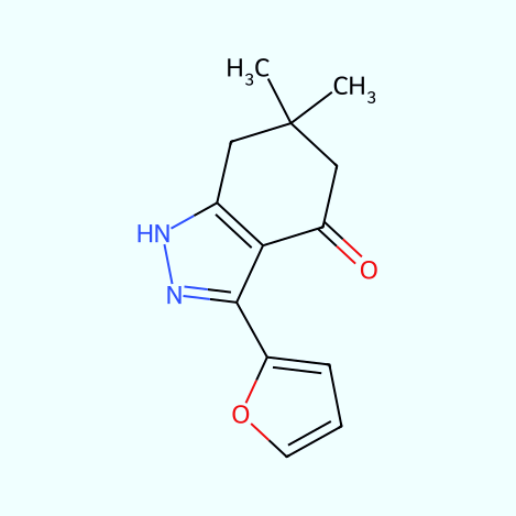 CC1(C)CC(=O)c2c(-c3ccco3)n[nH]c2C1